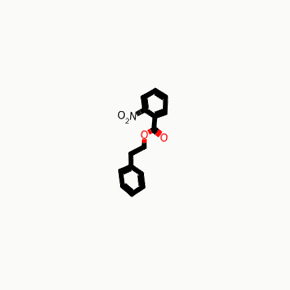 O=C(OCCc1ccccc1)c1ccccc1[N+](=O)[O-]